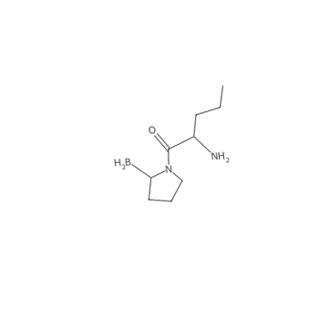 BC1CCCN1C(=O)C(N)CCC